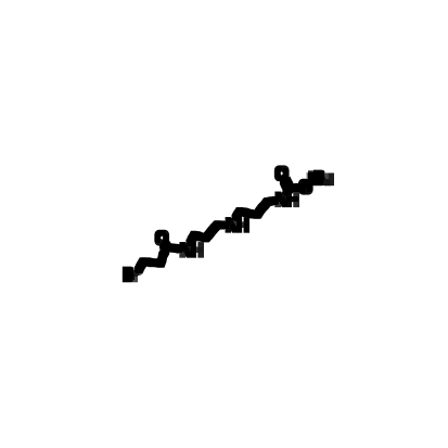 CC(C)(C)OC(=O)NCCCNCCCNC(=O)CCBr